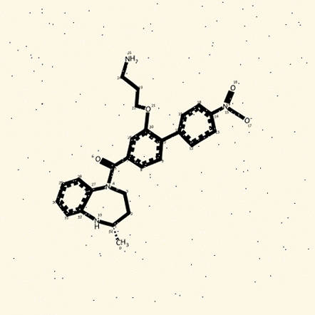 C[C@H]1CCN(C(=O)c2ccc(-c3ccc([N+](=O)[O-])cc3)c(OCCCN)c2)c2ccccc2N1